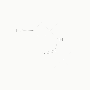 CC1(NC(=O)C(C)(C)C)CC(O)C1